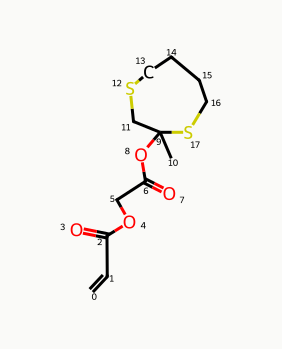 C=CC(=O)OCC(=O)OC1(C)CSCCCCS1